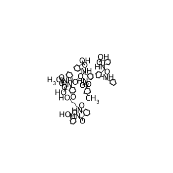 CS(=O)(=O)Nc1ccccc1C(=O)Nc1ccccc1C(=O)O.Cc1ccc(S(=O)(=O)Nc2ccccc2C(=O)Nc2ccccc2C(=O)O)cc1.O=C(O)CCCC(=O)Nc1ccccc1C(=O)Nc1ccccc1C(=O)O.O=C(O)c1ccccc1NC(=O)c1ccccc1NCc1ccccc1